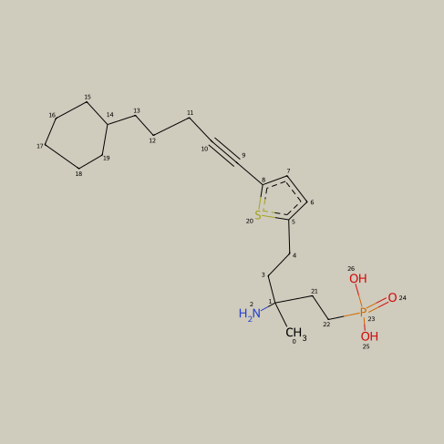 CC(N)(CCc1ccc(C#CCCCC2CCCCC2)s1)CCP(=O)(O)O